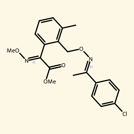 CO/N=C(/C(=O)OC)c1cccc(C)c1CO/N=C(\C)c1ccc(Cl)cc1